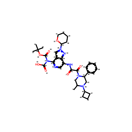 CC1CN(C(=O)C(=O)Nc2cnc(N(C(=O)O)C(=O)OC(C)(C)C)c3cn(C4CCCCO4)nc23)C(c2ccccc2)CN1C1CCC1